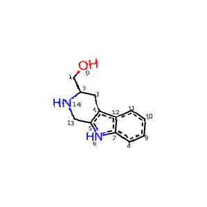 OCC1Cc2c([nH]c3ccccc23)CN1